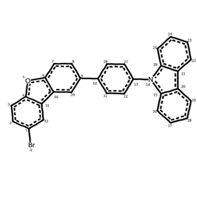 Brc1ccc2oc3ccc(-c4ccc(-n5c6ccccc6c6ccccc65)cc4)cc3c2c1